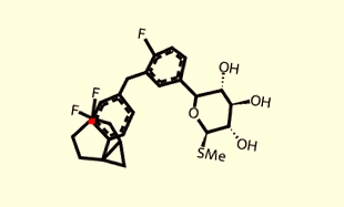 CS[C@H]1OC(c2ccc(F)c(Cc3ccc(C45CCC(F)(F)CC4C5)cc3)c2)[C@H](O)[C@@H](O)[C@@H]1O